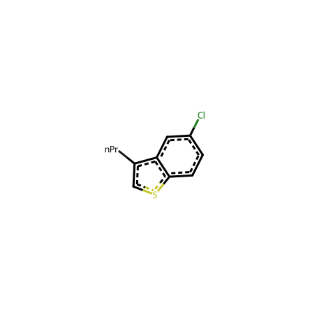 [CH2]CCc1csc2ccc(Cl)cc12